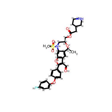 C[C@@H]1O[C@H](COC(=O)CC2CCNCC2)CN(S(C)(=O)=O)c2cc3oc(-c4ccc(Oc5ccc(F)cc5)cc4)c(C=O)c3cc21